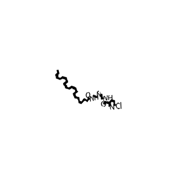 CC/C=C\C/C=C\C/C=C\C/C=C\C/C=C\C/C=C\CCC(=O)NCCN(C)CCNC(=O)c1ccc(Cl)nc1